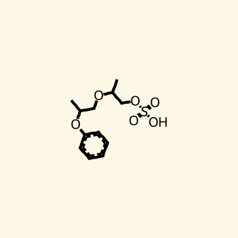 CC(COS(=O)(=O)O)OCC(C)Oc1ccccc1